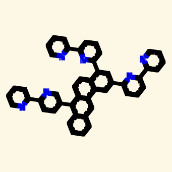 c1ccc(-c2ccc(-c3c4ccccc4cc4c3ccc3c(-c5cccc(-c6ccccn6)n5)cc(-c5cccc(-c6ccccn6)n5)cc34)cn2)nc1